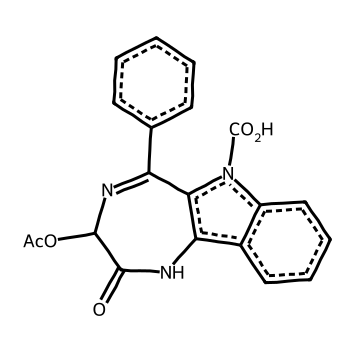 CC(=O)OC1N=C(c2ccccc2)c2c(c3ccccc3n2C(=O)O)NC1=O